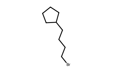 BrCCCCC1CCCC1